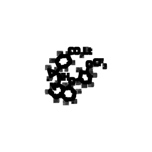 CCOC(=O)c1ccc(C2(Nc3nccc4cccc(Oc5cccc(OC(F)(F)F)c5)c34)CC2)cc1